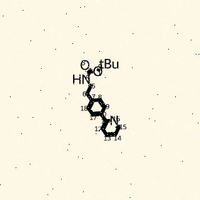 CC(C)(C)OC(=O)NCCc1ccc(-c2ccccn2)cc1